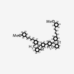 CCc1cccc(C)c1N(c1ccc(/C=C/C=C/c2cccc(OC)c2)cc1)c1ccc(-c2ccc(N(c3ccc(/C=C/C=C/c4cccc(OC)c4)cc3)c3c(C)cccc3CC)cc2)cc1